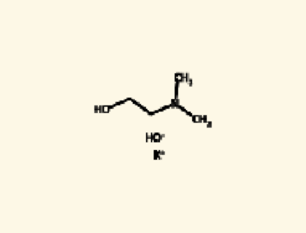 CN(C)CCO.[K+].[OH-]